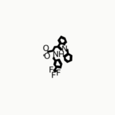 COC(=O)C(Cc1cn(Cc2ccccc2)c2ccccc12)NCc1cccc(C(F)(F)F)c1